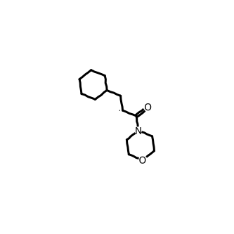 O=C([CH]CC1CCCCC1)N1CCOCC1